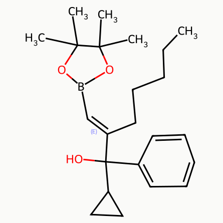 CCCCC/C(=C\B1OC(C)(C)C(C)(C)O1)C(O)(c1ccccc1)C1CC1